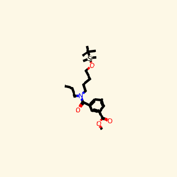 CCCN(CCCCO[Si](C)(C)C(C)(C)C)C(=O)c1cccc(C(=O)OC)c1